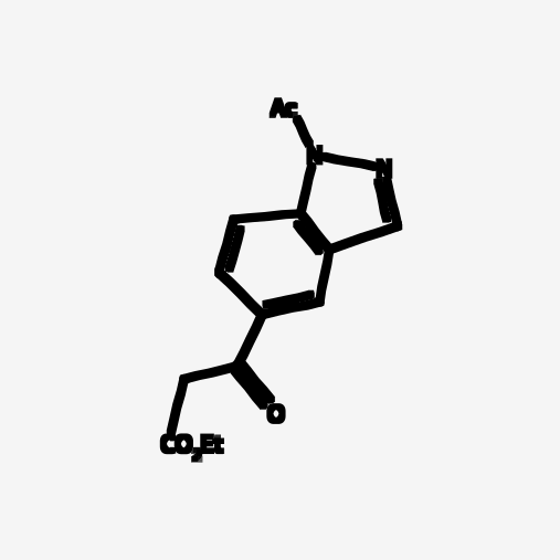 CCOC(=O)CC(=O)c1ccc2c(cnn2C(C)=O)c1